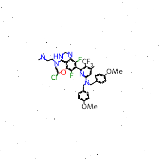 COc1ccc(CN(Cc2ccc(OC)cc2)c2cc(C)c(C(F)(F)F)c(-c3c(F)c4c5c(c3F)=NCNC=5N(CCN(C)C)C=C(Cl)O4)n2)cc1